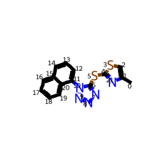 Cc1csc(Sc2nnnn2-c2cccc3ccccc23)n1